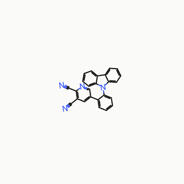 N#Cc1cc(-c2ccccc2-n2c3ccccc3c3ccccc32)cnc1C#N